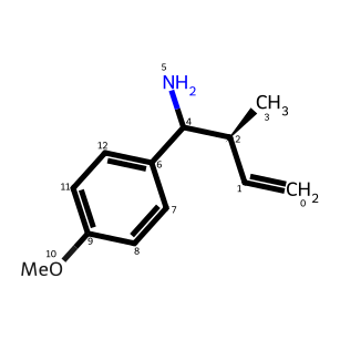 C=C[C@H](C)C(N)c1ccc(OC)cc1